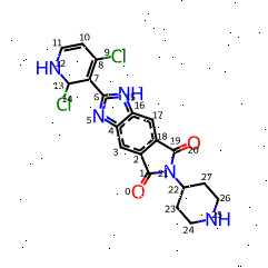 O=C1c2cc3nc(C4=C(Cl)C=CNC4Cl)[nH]c3cc2C(=O)N1C1CCNCC1